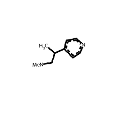 CNCC(C)c1ccncc1